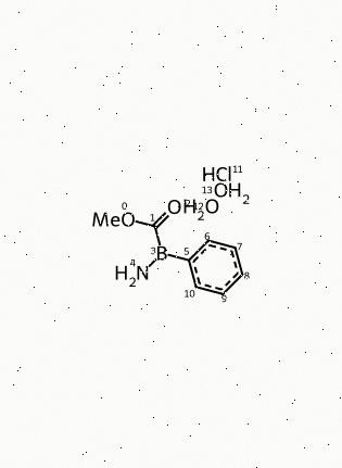 COC(=O)B(N)c1ccccc1.Cl.O.O